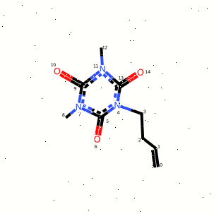 C=CCCn1c(=O)n(C)c(=O)n(C)c1=O